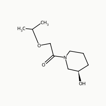 CC(C)OCC(=O)N1CCC[C@@H](O)C1